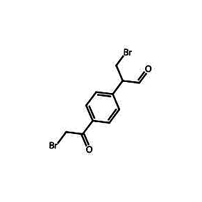 O=CC(CBr)c1ccc(C(=O)CBr)cc1